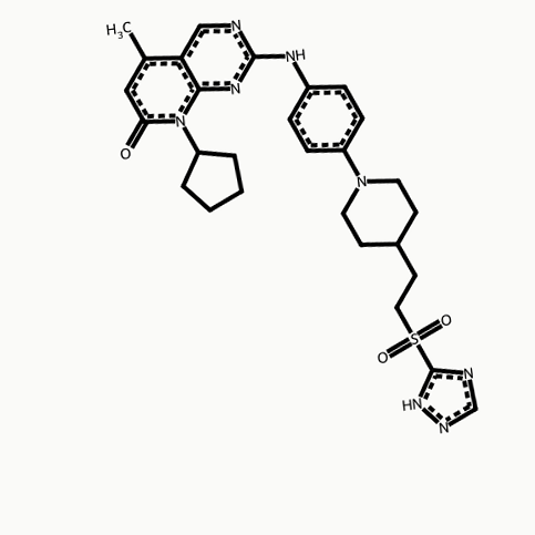 Cc1cc(=O)n(C2CCCC2)c2nc(Nc3ccc(N4CCC(CCS(=O)(=O)c5ncn[nH]5)CC4)cc3)ncc12